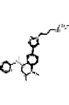 CC(=O)N1c2ccc(-c3cnn(CCCNC(=O)O)c3)cc2[C@H](Nc2cnccn2)C[C@@H]1C